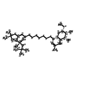 CC(=O)N[C@H]1[C@H](OCCCCCCCOC[C@H](CC(C)(C)C)OP(=O)(O)OC(C)(C)C)O[C@H](CO)[C@H](O)[C@@H]1O